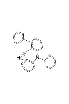 C#Cc1c(-c2ccccc2)cccc1N(c1ccccc1)c1ccccc1